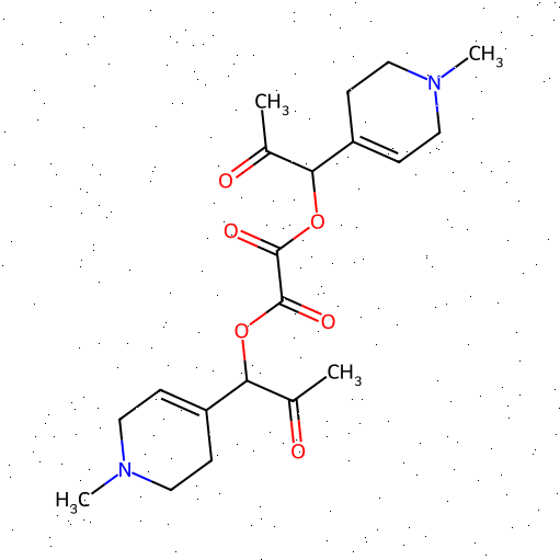 CC(=O)C(OC(=O)C(=O)OC(C(C)=O)C1=CCN(C)CC1)C1=CCN(C)CC1